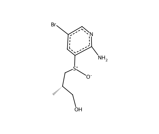 C[C@@H](CO)C[S+]([O-])c1cc(Br)cnc1N